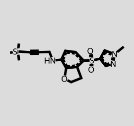 Cn1cc(S(=O)(=O)c2ccc(NCC#C[Si](C)(C)C)c3c2CCO3)cn1